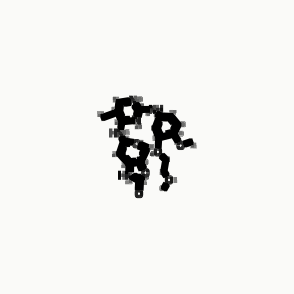 COCCOc1cc(Nc2ncc(C)c(Nc3ccc4oc(=O)[nH]c4c3)n2)ccc1OC